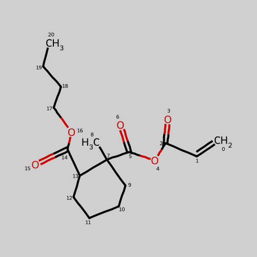 C=CC(=O)OC(=O)C1(C)CCCCC1C(=O)OCCCC